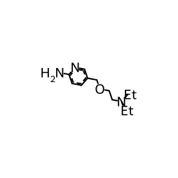 CCN(CC)CCOCc1ccc(N)nc1